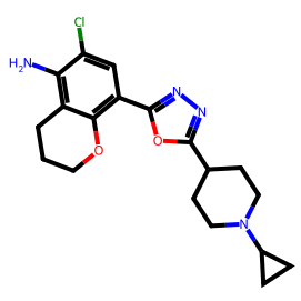 Nc1c(Cl)cc(-c2nnc(C3CCN(C4CC4)CC3)o2)c2c1CCCO2